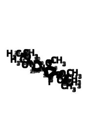 COc1cc(B2OC(C)(C)C(C)(C)O2)c(F)cc1N1CCN(C(=O)OC(C)(C)C)CC1